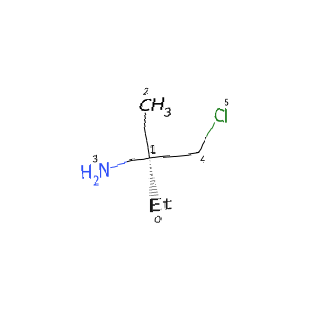 CC[C@@](C)(N)CCl